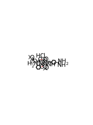 CC(=O)[C@@](C(=O)OC(C)C)(N1C(=O)N[C@](C)(c2ccc(C(=N)N)cc2)C1=O)N(C(=O)[C@@H](N)CC(=O)OC(C)C)c1ccccc1.Cl